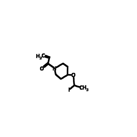 C=CC(=O)N1CCC(OC(C)I)CC1